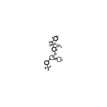 Cc1nc(O[C@H]2CC[C@H](c3cccc(C(F)(F)F)c3)C[C@@H]2N2CCOCC2)ccc1S(=O)(=O)Nc1ccncn1